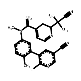 C=C(C1=CC=NC(C(C)(C)C#N)C1)N(C)c1ccc(C)c(-c2cc(C#N)cnc2Cl)c1